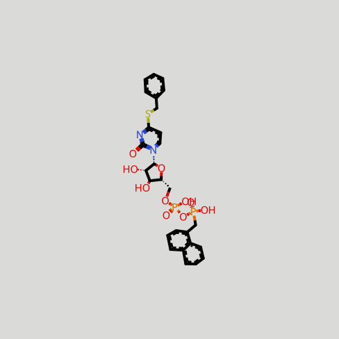 O=c1nc(SCc2ccccc2)ccn1[C@@H]1O[C@H](COP(=O)(O)OP(=O)(O)Cc2cccc3ccccc23)C(O)[C@@H]1O